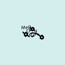 COc1ccc(N=C(C#Cc2ccccc2)N2CCN(Cc3ccc(C)cc3)CC2)cc1Cl